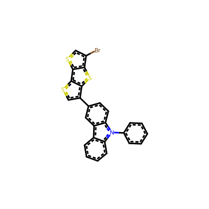 Brc1csc2c1sc1c(-c3ccc4c(c3)c3ccccc3n4-c3ccccc3)csc12